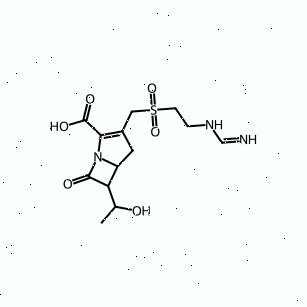 CC(O)C1C(=O)N2C(C(=O)O)=C(CS(=O)(=O)CCNC=N)CC12